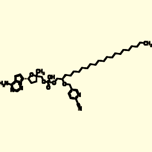 CCCCCCCCCCCCCCCCCCCC[C@H](COP(=O)(O)OC[C@]1(C)CC[C@H](c2ccc3c(N)ncnn23)O1)OCc1ccc(C#N)nc1